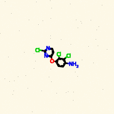 Nc1ccc(Oc2ccnc(Cl)n2)c(Cl)c1Cl